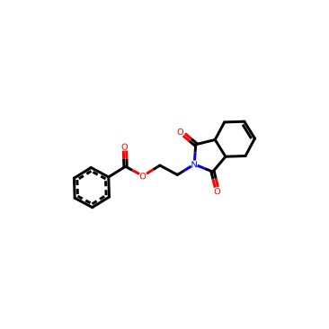 O=C(OCCN1C(=O)C2CC=CCC2C1=O)c1ccccc1